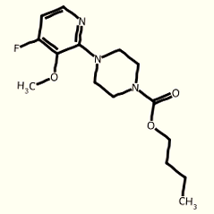 CCCCOC(=O)N1CCN(c2nccc(F)c2OC)CC1